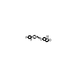 O=c1ccc2cc(OCCCN3CCN(c4ccc(F)cc4F)CC3)ccc2[nH]1